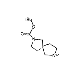 CC(C)(C)OC(=O)N1CC[C@@]2(CCNC2)C1